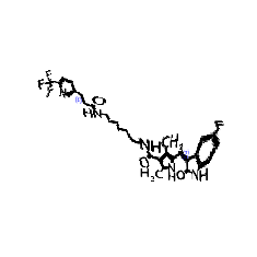 Cc1[nH]c(/C=C2\C(=O)Nc3ccc(F)cc32)c(C)c1C(=O)NCCCCCCNC(=O)/C=C/c1ccc(C(F)(F)F)nc1